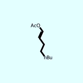 [CH2]C(=O)OC=CCCCCCC